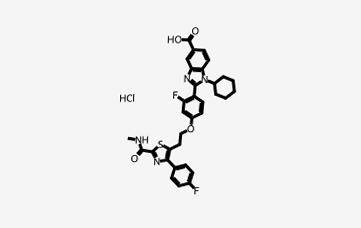 CNC(=O)c1nc(-c2ccc(F)cc2)c(CCOc2ccc(-c3nc4cc(C(=O)O)ccc4n3C3CCCCC3)c(F)c2)s1.Cl